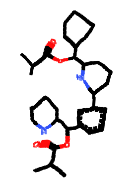 CC(C)C(=O)OC(c1cccc(C2CCCC(C(OC(=O)C(C)C)C3CCCCC3)N2)c1)C1CCCCN1